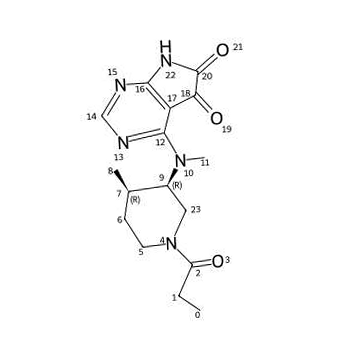 CCC(=O)N1CC[C@@H](C)[C@@H](N(C)c2ncnc3c2C(=O)C(=O)N3)C1